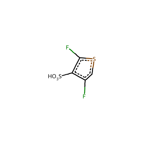 O=S(=O)(O)c1c(F)csc1F